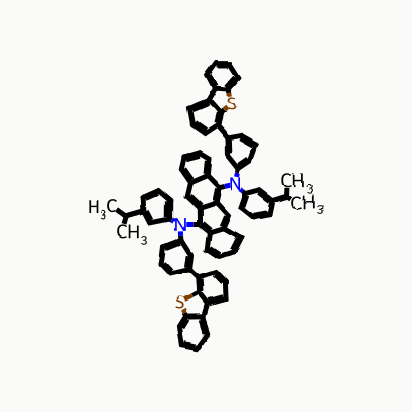 CC(C)c1cccc(N(c2cccc(-c3cccc4c3sc3ccccc34)c2)c2c3ccccc3cc3c(N(c4cccc(-c5cccc6c5sc5ccccc56)c4)c4cccc(C(C)C)c4)c4ccccc4cc23)c1